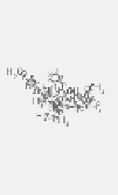 COCc1nc(CN2CCN(C(C(=O)NC(Cc3ccccc3)C(O)CN(Cc3csc(C(C)C)n3)NC(=O)C(NC(=O)OC)C(C)(C)C)C(C)(C)C)C2=O)cs1